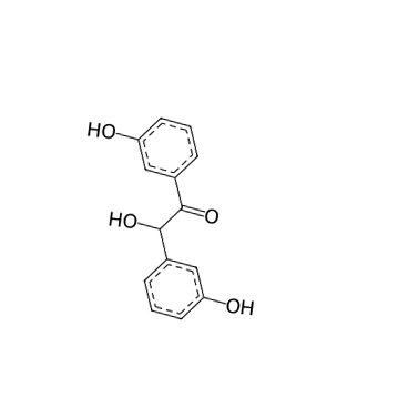 O=C(c1cccc(O)c1)C(O)c1cccc(O)c1